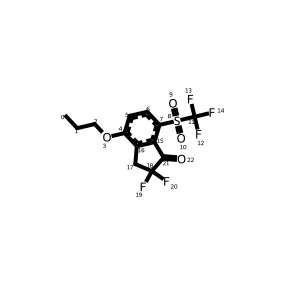 CCCOc1ccc(S(=O)(=O)C(F)(F)F)c2c1CC(F)(F)C2=O